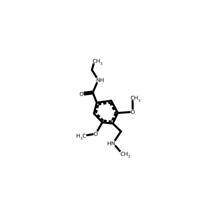 CCNC(=O)c1cc(OC)c(CNC)c(OC)c1